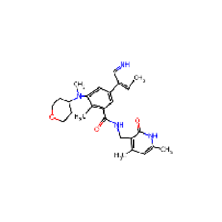 C/C=C(\C=N)c1cc(C(=O)NCc2c(C)cc(C)[nH]c2=O)c(C)c(N(C)C2CCOCC2)c1